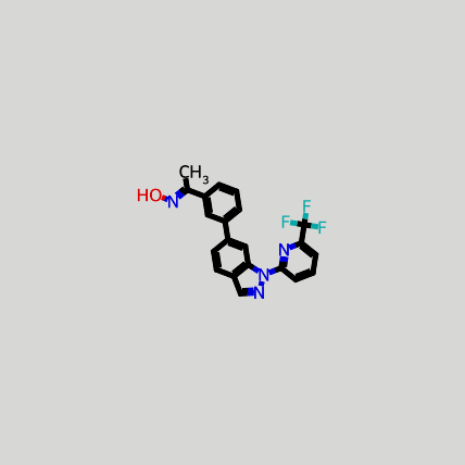 CC(=NO)c1cccc(-c2ccc3cnn(-c4cccc(C(F)(F)F)n4)c3c2)c1